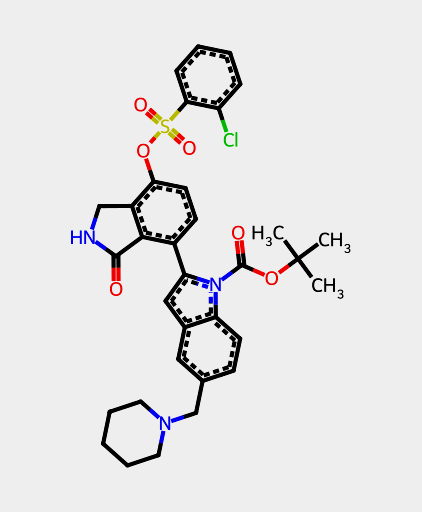 CC(C)(C)OC(=O)n1c(-c2ccc(OS(=O)(=O)c3ccccc3Cl)c3c2C(=O)NC3)cc2cc(CN3CCCCC3)ccc21